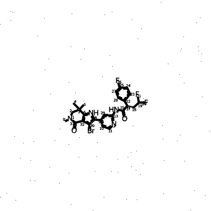 CN1CC(C)(C)c2[nH]c(-c3ccnc(NC(=O)[C@H](CC(F)F)c4ccc(F)cc4)c3)c(Br)c2C1=O